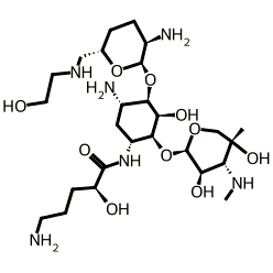 CN[C@@H]1[C@@H](O)[C@@H](O[C@@H]2[C@H](O)[C@H](O[C@H]3O[C@H](CNCCO)CC[C@H]3N)[C@@H](N)C[C@H]2NC(=O)[C@@H](O)CCCN)OC[C@]1(C)O